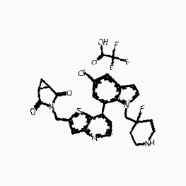 O=C(O)C(F)(F)F.O=C1C2CC2C(=O)N1Cc1cc2nccc(-c3cc(Cl)cc4ccn(CC5(F)CCNCC5)c34)c2s1